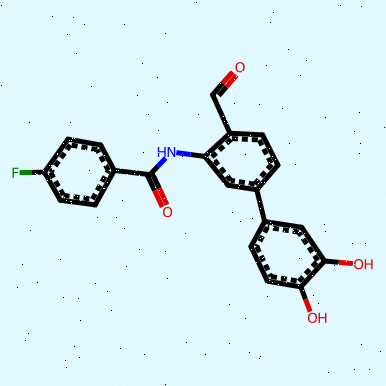 O=Cc1ccc(-c2ccc(O)c(O)c2)cc1NC(=O)c1ccc(F)cc1